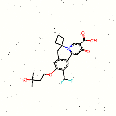 CC(C)(O)CCOc1cc2c(cc1C(F)F)-c1cc(=O)c(C(=O)O)cn1C1(CCC1)C2